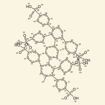 Cc1cc(-c2ccc(S(=O)(=O)O)cc2)c(-c2ccc(-c3c(-c4ccc(S(=O)(=O)O)cc4)ccc(-c4ccc(S(=O)(=O)O)cc4)c3-c3ccc(S(=O)(=O)O)cc3)cc2)c(-c2ccc(S(=O)(=O)O)cc2)c1-c1ccc(S(=O)(=O)O)cc1